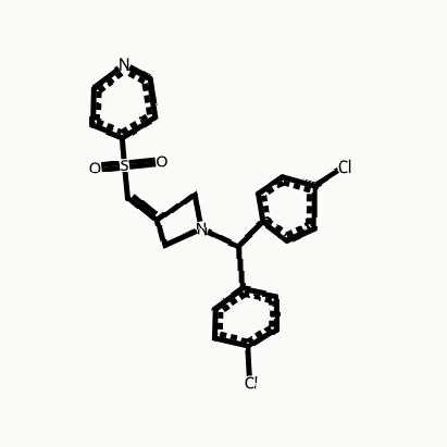 O=S(=O)(C=C1CN(C(c2ccc(Cl)cc2)c2ccc(Cl)cc2)C1)c1ccncc1